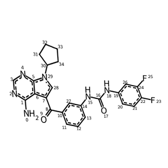 Nc1ncnc2c1c(C(=O)c1cccc(NC(=O)Nc3ccc(F)c(F)c3)c1)cn2C1CCCC1